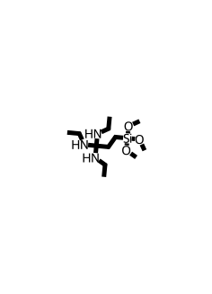 CCNC(CC[Si](OC)(OC)OC)(NCC)NCC